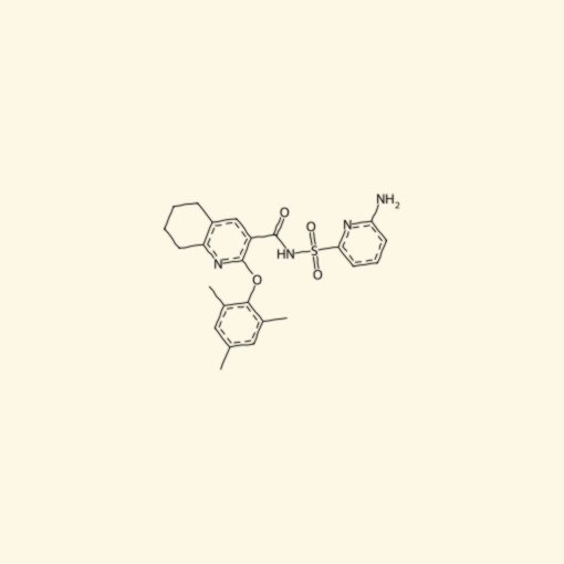 Cc1cc(C)c(Oc2nc3c(cc2C(=O)NS(=O)(=O)c2cccc(N)n2)CCCC3)c(C)c1